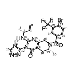 C=C[C@@H](C)Nc1nc2c(c(=O)n1-c1nncn1C)C[C@@H](C)N(C(=O)c1ccc(Br)c(C(F)(F)F)c1)C2